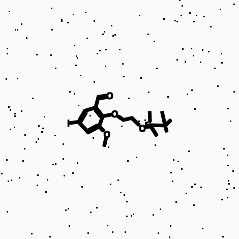 COc1cc(I)cc(C=O)c1OCCO[Si](C)(C)C(C)(C)C